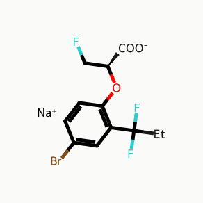 CCC(F)(F)c1cc(Br)ccc1O[C@@H](CF)C(=O)[O-].[Na+]